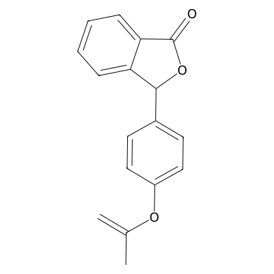 C=C(C)Oc1ccc(C2OC(=O)c3ccccc32)cc1